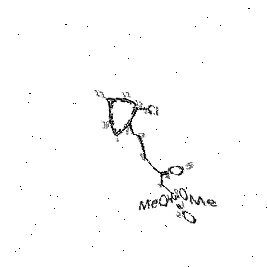 COP(=O)(CC(=O)CCc1ccccc1Cl)OC